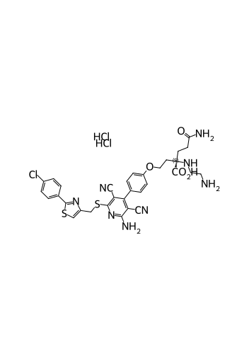 Cl.Cl.N#Cc1c(N)nc(SCc2csc(-c3ccc(Cl)cc3)n2)c(C#N)c1-c1ccc(OCC[C@](CCC(N)=O)(NCCN)C(=O)O)cc1